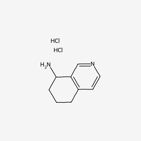 Cl.Cl.NC1CCCc2ccncc21